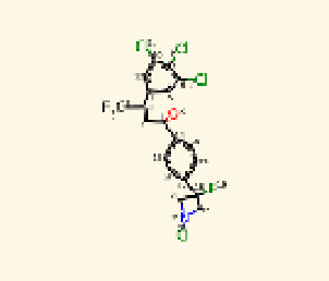 O=C(/C=C(\c1cc(Cl)c(Cl)c(Cl)c1)C(F)(F)F)c1ccc(C2(F)CN(Cl)C2)cc1